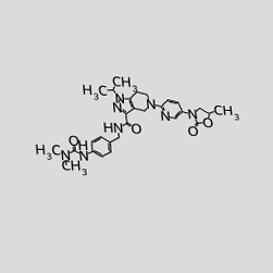 CC1CN(c2ccc(N3CCc4c(c(C(=O)NCc5ccc(NC(=O)N(C)C)cc5)nn4C(C)C)C3)nc2)C(=O)O1